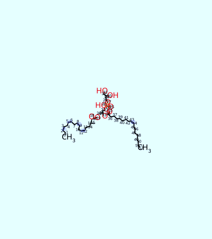 CC/C=C\C/C=C\C/C=C\C/C=C\CCCCC(=O)OC[C@H](COP(=O)(O)OC[C@@H](O)CO)OC(=O)CCCCCCC/C=C\CCCCCCCC